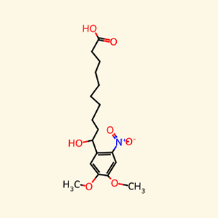 COc1cc(C(O)CCCCCCCCC(=O)O)c([N+](=O)[O-])cc1OC